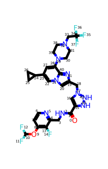 O=C(NCc1nccc(OC(F)F)c1F)C1=CN(Cc2cn3cc(C4CC4)cc(N4CCN(CC(F)(F)F)CC4)c3n2)NN1